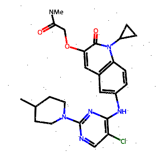 CNC(=O)COc1cc2cc(Nc3nc(N4CCC(C)CC4)ncc3Cl)ccc2n(C2CC2)c1=O